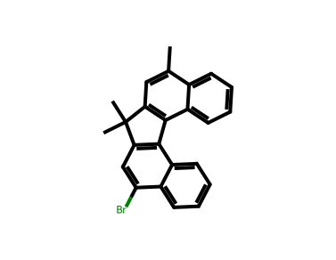 Cc1cc2c(c3ccccc13)-c1c(cc(Br)c3ccccc13)C2(C)C